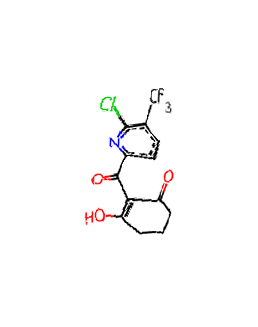 O=C1CCCC(O)=C1C(=O)c1ccc(C(F)(F)F)c(Cl)n1